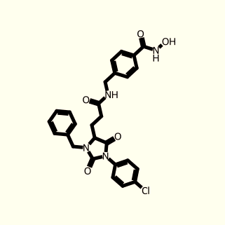 O=C(CCC1C(=O)N(c2ccc(Cl)cc2)C(=O)N1Cc1ccccc1)NCc1ccc(C(=O)NO)cc1